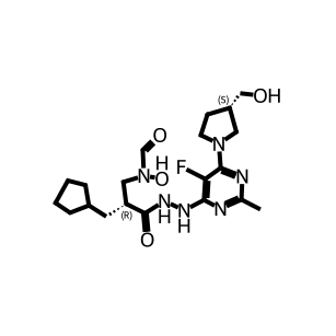 Cc1nc(NNC(=O)[C@H](CC2CCCC2)CN(O)C=O)c(F)c(N2CC[C@H](CO)C2)n1